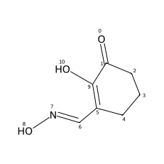 O=C1CCCC(/C=N/O)=C1O